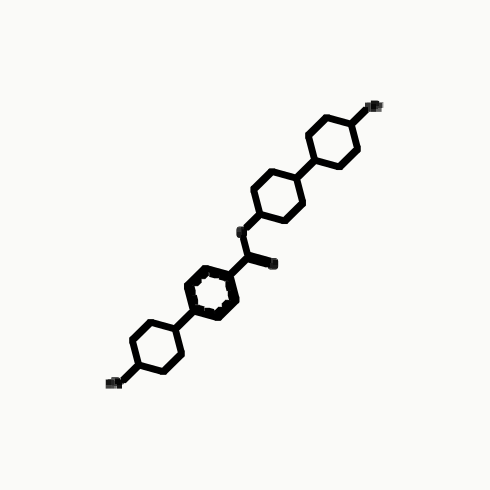 CCCC1CCC(c2ccc(C(=O)OC3CCC(C4CCC(CCC)CC4)CC3)cc2)CC1